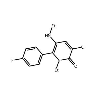 CCNc1cc(Cl)c(=O)n(CC)c1-c1ccc(F)cc1